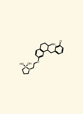 NC1CCc2ccc(OCCN3CCCS3(O)O)cc2C1Cc1cccc(Cl)c1